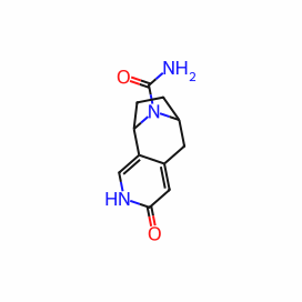 NC(=O)N1C2CCC1c1c[nH]c(=O)cc1C2